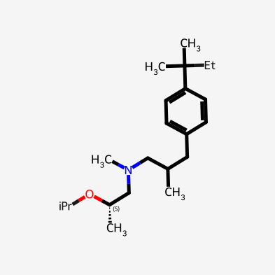 CCC(C)(C)c1ccc(CC(C)CN(C)C[C@H](C)OC(C)C)cc1